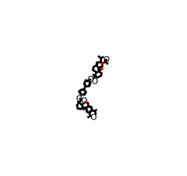 CC(=O)c1cc2c(cc1C(C)C)CCC1C(C)(C(=O)Oc3ccc(-c4ccc(OC(=O)C5(C)CCCC6(C)c7cc(C(C)=O)c(C(C)C)cc7CCC56)cc4)cc3)CCCC21C